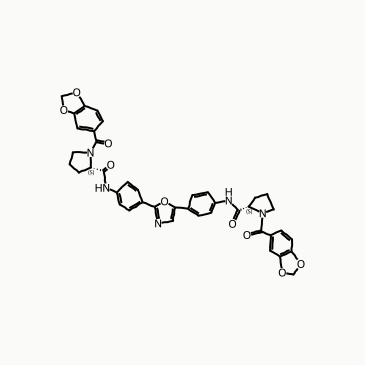 O=C(Nc1ccc(-c2cnc(-c3ccc(NC(=O)[C@@H]4CCCN4C(=O)c4ccc5c(c4)OCO5)cc3)o2)cc1)[C@@H]1CCCN1C(=O)c1ccc2c(c1)OCO2